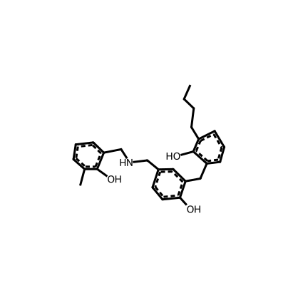 CCCCc1cccc(Cc2cc(CNCc3cccc(C)c3O)ccc2O)c1O